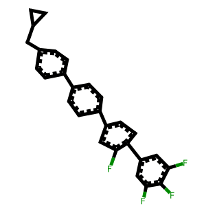 Fc1cc(-c2ccc(-c3ccc(CC4CC4)cc3)cc2)ccc1-c1cc(F)c(F)c(F)c1